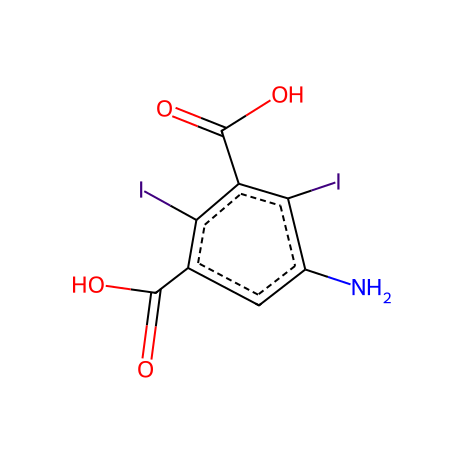 Nc1cc(C(=O)O)c(I)c(C(=O)O)c1I